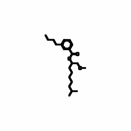 CCCCc1cccc(C(=O)OC(CCCCCC(C)C)COC)c1